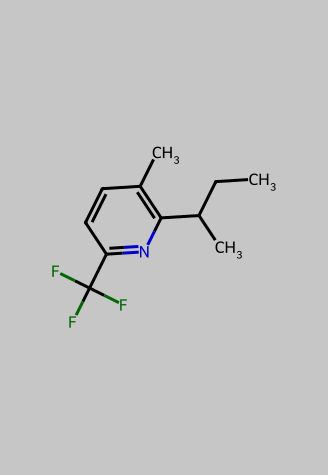 CCC(C)c1nc(C(F)(F)F)ccc1C